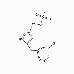 CS(=O)(=O)OCc1c[nH]c(Sc2cccc(Cl)c2)c1